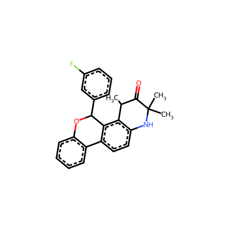 CC1C(=O)C(C)(C)Nc2ccc3c(c21)C(c1cccc(F)c1)Oc1ccccc1-3